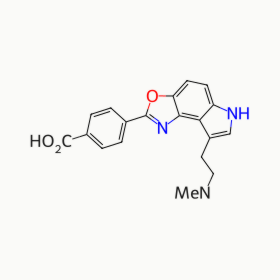 CNCCc1c[nH]c2ccc3oc(-c4ccc(C(=O)O)cc4)nc3c12